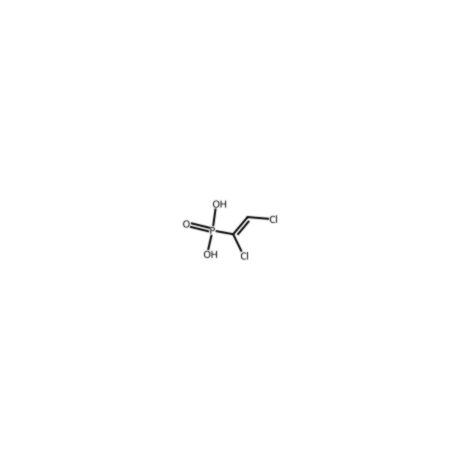 O=P(O)(O)C(Cl)=CCl